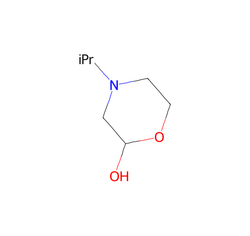 CC(C)N1CCOC(O)C1